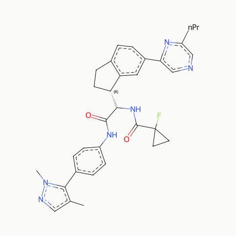 CCCc1cncc(-c2ccc3c(c2)[C@H](C(NC(=O)C2(F)CC2)C(=O)Nc2ccc(-c4c(C)cnn4C)cc2)CC3)n1